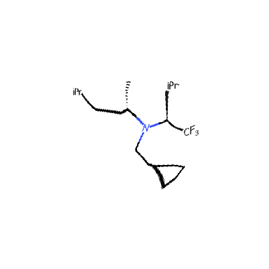 CC(C)C[C@H](C)N(CC1CC1)[C@@H](C(C)C)C(F)(F)F